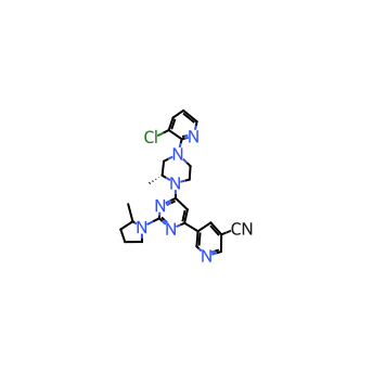 CC1CCCN1c1nc(-c2cncc(C#N)c2)cc(N2CCN(c3ncccc3Cl)C[C@H]2C)n1